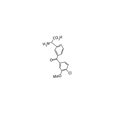 COc1cc(C(=O)c2cccc(C(N)C(=O)O)c2)ccc1Cl